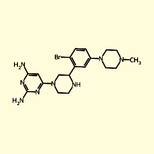 CN1CCN(c2ccc(Br)c(C3CN(c4cc(N)nc(N)n4)CCN3)c2)CC1